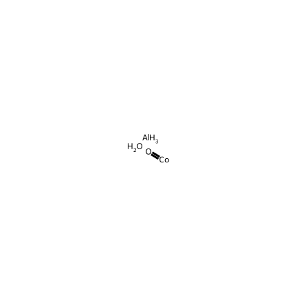 O.[AlH3].[O]=[Co]